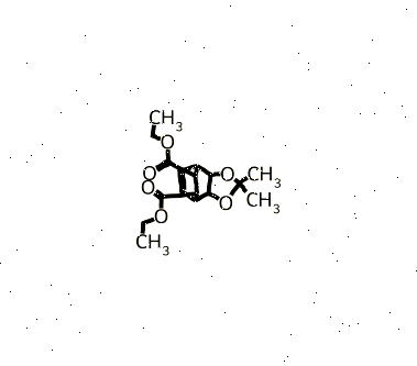 CCOC(=O)C1C2C=CC(C3OC(C)(C)OC23)C1C(=O)OCC